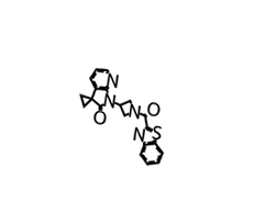 O=C(c1nc2ccccc2s1)N1CC(N2C(=O)C3(CC3)c3cccnc32)C1